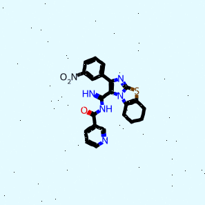 N=C(NC(=O)c1cccnc1)c1c(-c2cccc([N+](=O)[O-])c2)nc2sc3c(n12)CCCC3